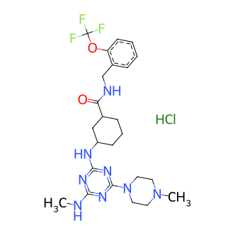 CNc1nc(NC2CCCC(C(=O)NCc3ccccc3OC(F)(F)F)C2)nc(N2CCN(C)CC2)n1.Cl